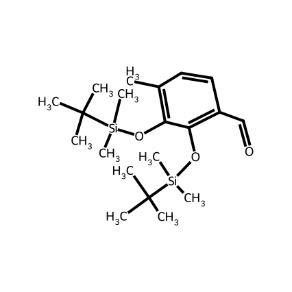 Cc1ccc(C=O)c(O[Si](C)(C)C(C)(C)C)c1O[Si](C)(C)C(C)(C)C